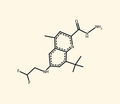 Cc1cc(C(=O)NN)nc2c(C(C)(C)C)cc(NCC(F)F)cc12